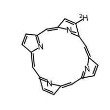 [2H]C1=CC2=CC3=NC(=CC4=NC(=CC5=NC(=CC1=N2)C=C5)C=C4)C=C3